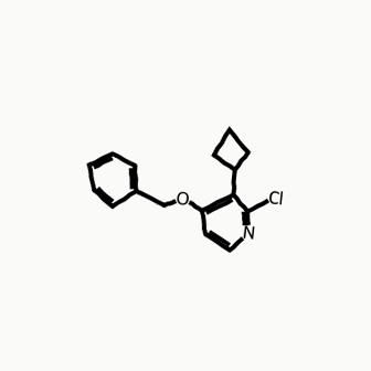 Clc1nccc(OCc2ccccc2)c1C1CCC1